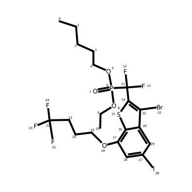 CCCCCOP(=O)(OCC)C(F)(F)c1sc2c(OCCCC(F)(F)F)cc(I)cc2c1Br